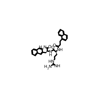 N=C(N)NCCC[C@H](NC(=O)CCc1cccc2ccccc12)C(=O)N[C@@H](Cc1ccc2ccccc2c1)C(N)=O